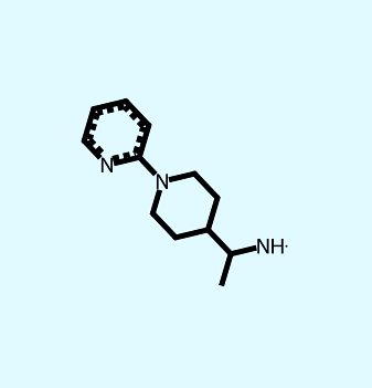 CC([NH])C1CCN(c2ccccn2)CC1